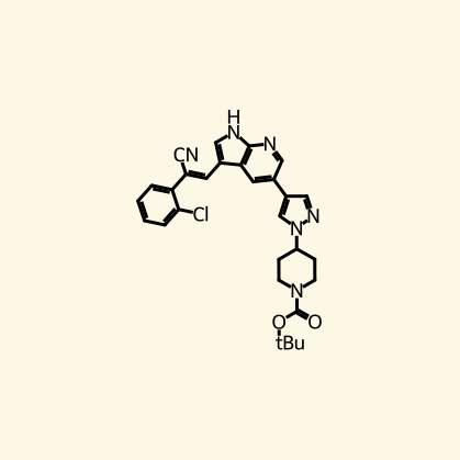 CC(C)(C)OC(=O)N1CCC(n2cc(-c3cnc4[nH]cc(/C=C(\C#N)c5ccccc5Cl)c4c3)cn2)CC1